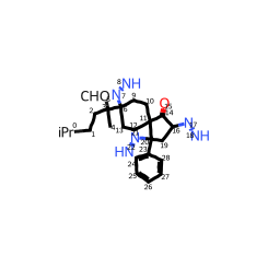 CC(C)CCC(C)(C=O)C1(N=N)CCC2(CC1)C(=O)C(N=N)CC2(N=N)c1ccccc1